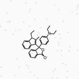 CCC1C(C)=C(C2(c3ccc(N(CC)CC)cc3)OC(=O)c3ccccc32)c2ccccc21